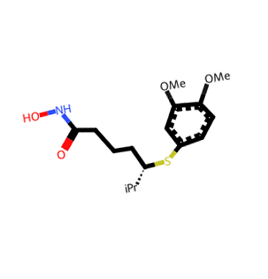 COc1ccc(S[C@@H](CCCC(=O)NO)C(C)C)cc1OC